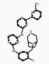 Cc1cccc(-c2nccc(Nc3ccnc(Nc4ccc(Cl)c(CN5C6CCC5CNC6)c4)n3)n2)n1